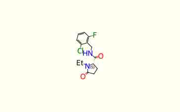 CCN1C(=O)CC[C@H]1C(=O)NCc1c(F)cccc1Cl